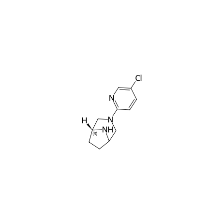 Clc1ccc(N2CC3CC[C@H](C2)N3)nc1